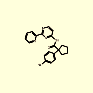 N#Cc1ccc(C2(C(=O)Nc3ccnc(-c4ccccn4)n3)CCCC2)cc1